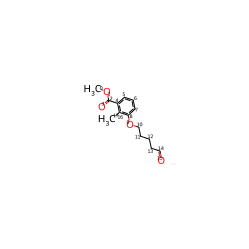 COC(=O)c1cccc(OCCCCC=O)c1C